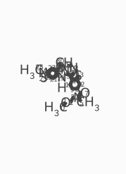 COCCN(C)C(=O)[C@H]1CCc2c(sc3ncnc(Nc4cc5sn(C)c5cc4OC)c23)C1